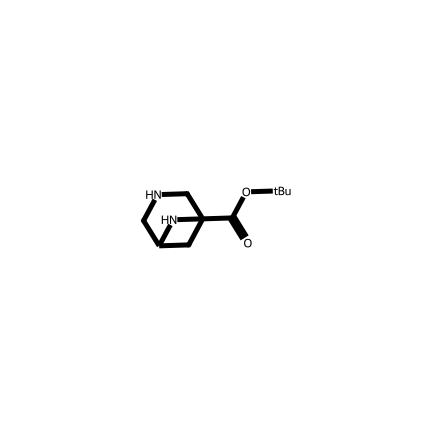 CC(C)(C)OC(=O)C12CNCC(C1)N2